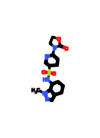 Cn1ncc2cccc(NS(=O)(=O)c3ccc(N4CCOC4=O)nc3)c21